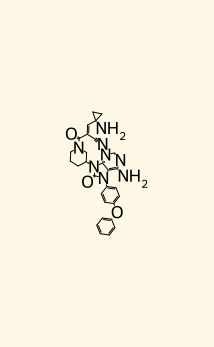 N#C/C(=C\C1(N)CC1)C(=O)N1CCC[C@H](n2c(=O)n(-c3ccc(Oc4ccccc4)cc3)c3c(N)ncnc32)C1